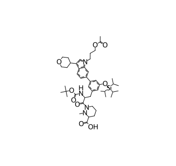 CC(=O)OCCCn1cc(C2CCOCC2)c2ccc(-c3cc(CC(NC(=O)OC(C)(C)C)C(=O)N4CCCC(C(=O)O)N4C)cc(O[Si](C(C)C)(C(C)C)C(C)C)c3)cc21